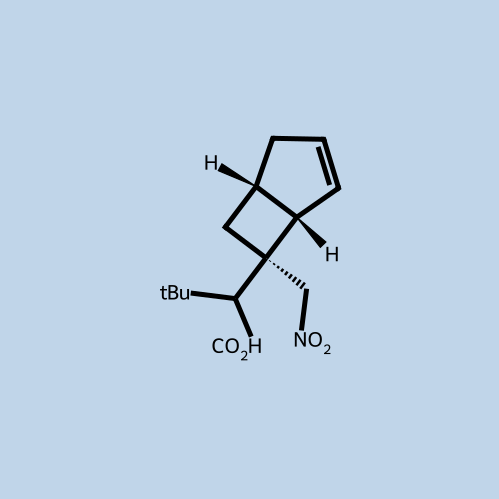 CC(C)(C)C(C(=O)O)[C@@]1(C[N+](=O)[O-])C[C@@H]2CC=C[C@@H]21